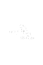 CC(C)(C)c1cc(C=C2Sc3ccccc3N(CC(=O)O)C2=O)ccc1O